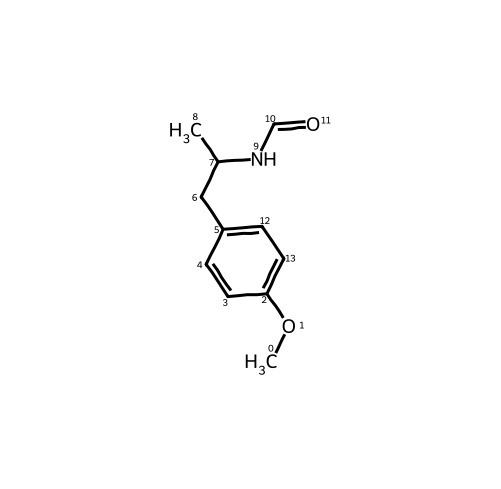 COc1ccc(CC(C)NC=O)cc1